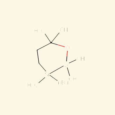 CCCC[Si]1(C)CCC(C)(C)O[Si]1(C)C